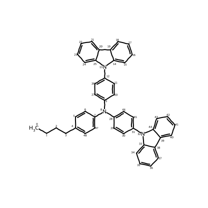 CCCCc1ccc(N(c2ccc(-n3c4ccccc4c4ccccc43)cc2)c2ccc(-n3c4ccccc4c4ccccc43)cc2)cc1